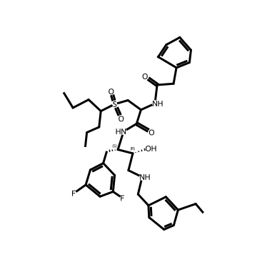 CCCC(CCC)S(=O)(=O)CC(NC(=O)Cc1ccccc1)C(=O)N[C@@H](Cc1cc(F)cc(F)c1)[C@H](O)CNCc1cccc(CC)c1